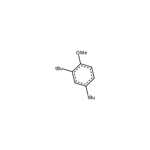 [CH2]Oc1ccc(C(C)(C)C)cc1C(C)(C)C